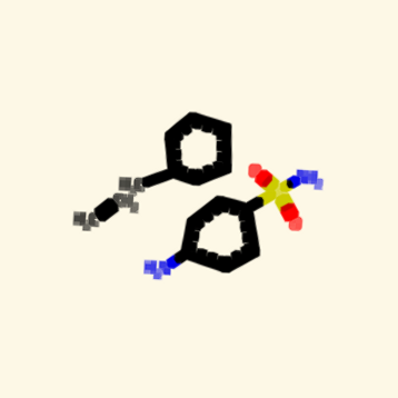 C=C.Cc1ccccc1.Nc1ccc(S(N)(=O)=O)cc1